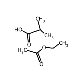 CC(C)C(=O)O.CCOC(C)=O